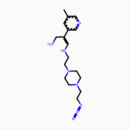 Cc1cncc(/C(=C/NCCN2CCN(CCN=[N+]=[N-])CC2)CN)c1